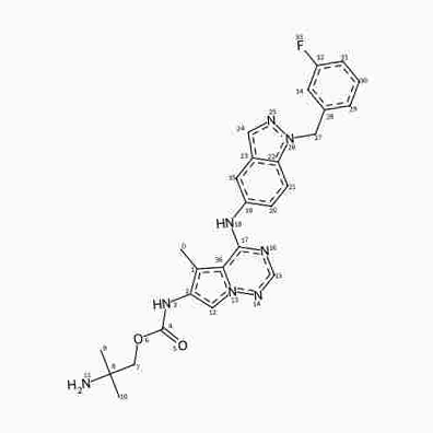 Cc1c(NC(=O)OCC(C)(C)N)cn2ncnc(Nc3ccc4c(cnn4Cc4cccc(F)c4)c3)c12